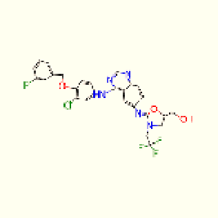 OCC1CN(CC(F)(F)F)/C(=N/c2ccc3ncnc(Nc4ccc(OCc5cccc(F)c5)c(Cl)c4)c3c2)O1